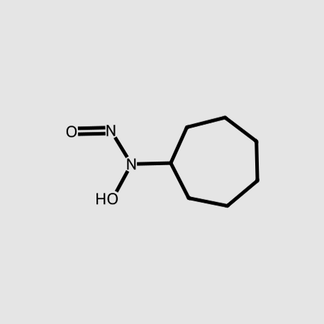 O=NN(O)C1CCCCCC1